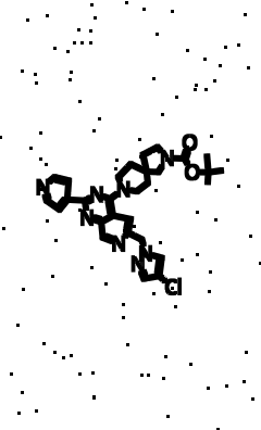 CC(C)(C)OC(=O)N1CCC2(CCN(c3nc(-c4ccncc4)nc4cnc(Cn5cc(Cl)cn5)cc34)CC2)C1